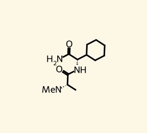 CN[C@@H](C)C(=O)N[C@H](C(N)=O)C1CCCCC1